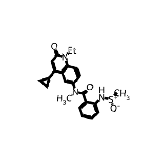 CCn1c(=O)cc(C2CC2)c2cc(N(C)C(=O)c3ccccc3N[S+](C)[O-])c#cc21